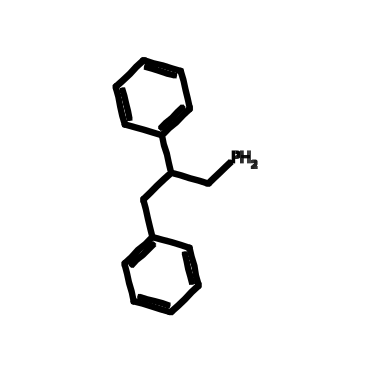 PCC(Cc1ccccc1)c1ccccc1